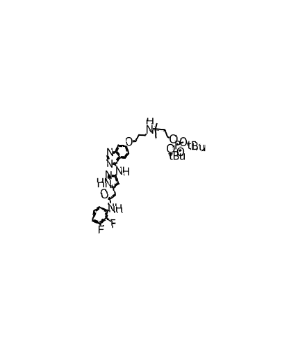 CC(C)(CCOP(=O)(OC(C)(C)C)OC(C)(C)C)NCCCOc1ccc2c(Nc3cc(CC(=O)Nc4cccc(F)c4F)[nH]n3)ncnc2c1